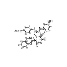 COc1ccc(CN2CC3N(C(=O)CN(C)N3C(=O)NCc3ccccc3)[C@@H](Cc3ccc(O)cc3)C2=O)cc1